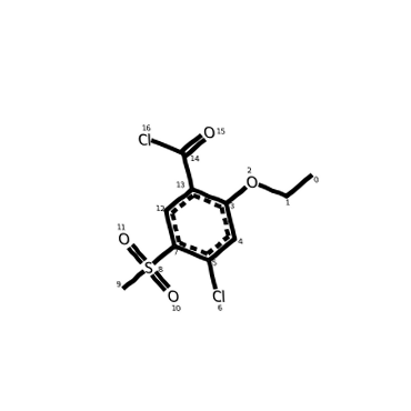 CCOc1cc(Cl)c(S(C)(=O)=O)cc1C(=O)Cl